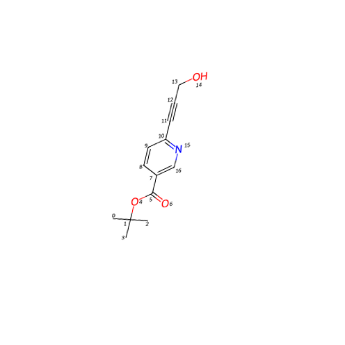 CC(C)(C)OC(=O)c1ccc(C#CCO)nc1